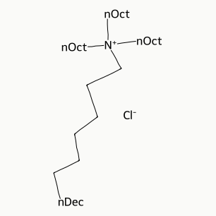 CCCCCCCCCCCCCCCC[N+](CCCCCCCC)(CCCCCCCC)CCCCCCCC.[Cl-]